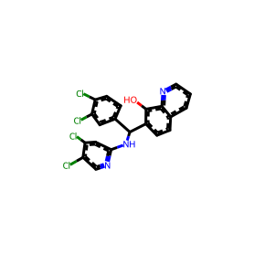 Oc1c(C(Nc2cc(Cl)c(Cl)cn2)c2ccc(Cl)c(Cl)c2)ccc2cccnc12